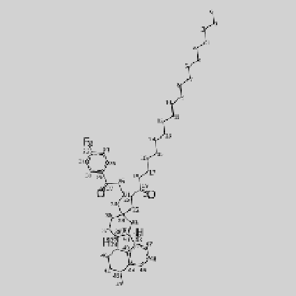 CCCCCCCCCCCCCCCCCCCC(=O)CCC1(CCCC(=O)c2ccc(F)cc2)CC[C@@H]2C3CCC(C)c4cccc(c43)[C@@H]2C1